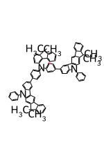 CC1(C)c2ccccc2-c2cc3c4cc(-c5ccc(N(c6ccc(-c7ccc8c(c7)c7cc9c(cc7n8-c7ccccc7)C(C)(C)c7ccccc7-9)cc6)c6cccc7c6-c6ccccc6C7(C)C)cc5)ccc4n(-c4ccccc4)c3cc21